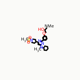 CNCC(O)COc1cccc(-c2nc(C3CCN(S(C)(=O)=O)CC3)cc(N(C)C3CCCCC3)n2)c1